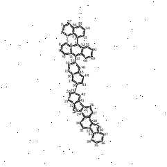 c1ccc2c(-c3c4ccccc4c(-c4ccc5cc(-c6ccc7sc8c(ccc9c8ccc8c%10ccccc%10sc89)c7c6)ccc5c4)c4ccccc34)cccc2c1